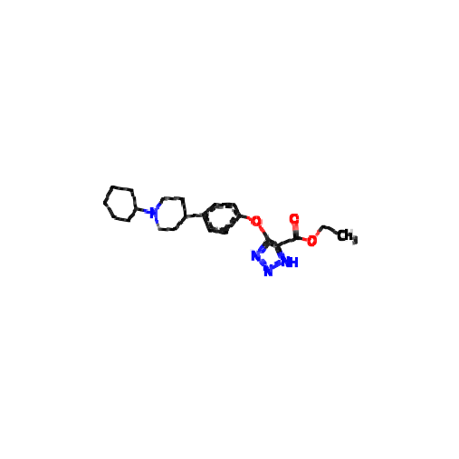 CCOC(=O)c1[nH]nnc1Oc1ccc(C2CCN(C3CCCCC3)CC2)cc1